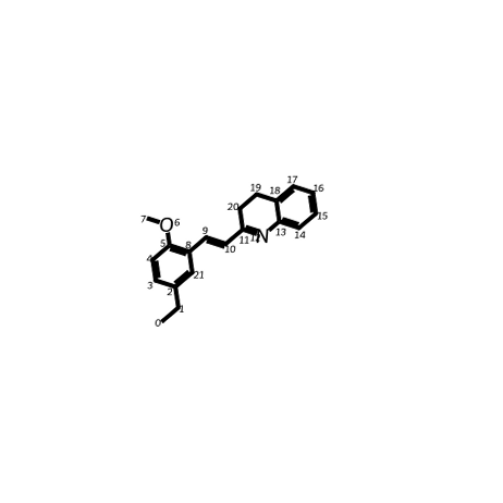 CCc1ccc(OC)c(/C=C/C2=Nc3ccccc3CC2)c1